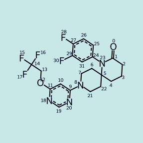 O=C1CCCC2(CCN(c3cc(OCC(F)(F)F)ncn3)CC2)N1c1ccc(F)c(F)c1